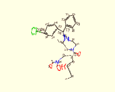 CCCCC(CN(O)C=O)C(=O)N1CCN(C(c2ccccc2)c2ccc(Cl)cc2)CC1